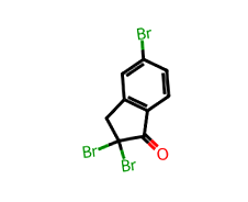 O=C1c2ccc(Br)cc2CC1(Br)Br